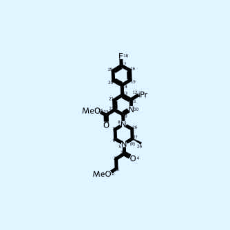 COCCC(=O)N1CCN(c2nc(C(C)C)c(-c3ccc(F)cc3)cc2C(=O)OC)C[C@H]1C